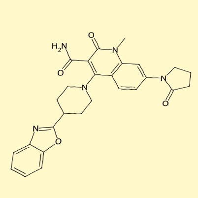 Cn1c(=O)c(C(N)=O)c(N2CCC(c3nc4ccccc4o3)CC2)c2ccc(N3CCCC3=O)cc21